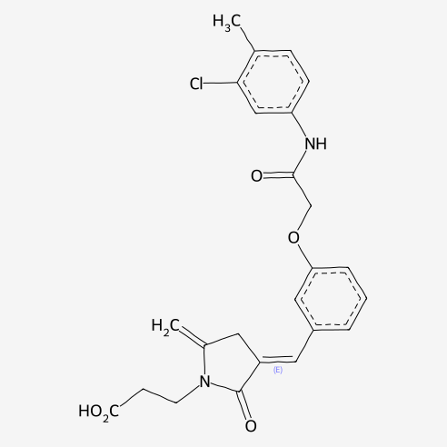 C=C1C/C(=C\c2cccc(OCC(=O)Nc3ccc(C)c(Cl)c3)c2)C(=O)N1CCC(=O)O